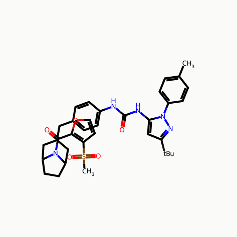 Cc1ccc(-n2nc(C(C)(C)C)cc2NC(=O)Nc2ccc(CC3CC4CCC(C3)N4C(=O)c3occc3S(C)(=O)=O)cc2)cc1